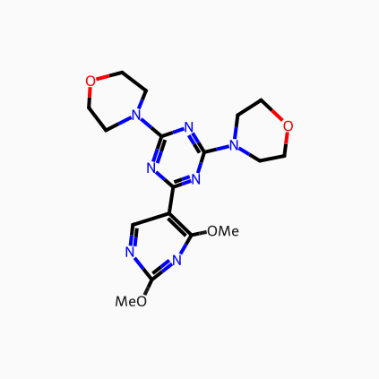 COc1ncc(-c2nc(N3CCOCC3)nc(N3CCOCC3)n2)c(OC)n1